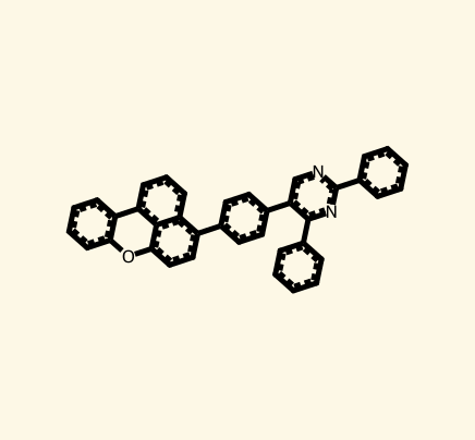 c1ccc(-c2ncc(-c3ccc(-c4ccc5c6c(cccc46)-c4ccccc4O5)cc3)c(-c3ccccc3)n2)cc1